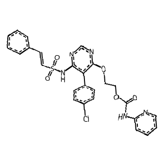 O=C(Nc1ccccn1)OCCOc1ncnc(NS(=O)(=O)C=Cc2ccccc2)c1-c1ccc(Cl)cc1